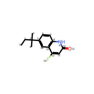 CCC(C)(C)c1ccc2[nH]c(=O)cc(F)c2c1